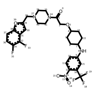 O=C(COC1CCC(Nc2ccc([N+](=O)[O-])c(C(F)(F)F)c2)CC1)N1CCN(Cc2cc3c(F)c(F)ccc3o2)CC1